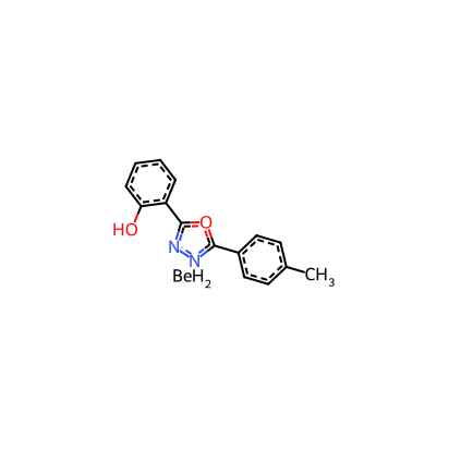 Cc1ccc(-c2nnc(-c3ccccc3O)o2)cc1.[BeH2]